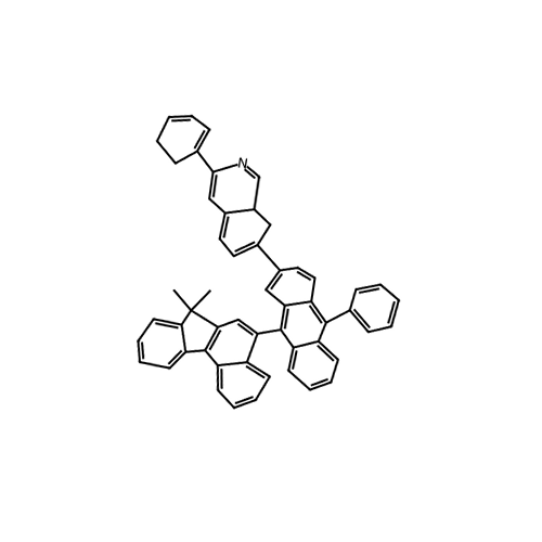 CC1(C)c2ccccc2-c2c1cc(-c1c3ccccc3c(-c3ccccc3)c3ccc(C4=CC=C5C=C(C6=CC=CCC6)N=CC5C4)cc13)c1ccccc21